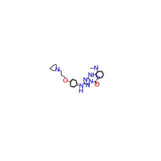 CN(C)c1cccc(C(=O)n2nc(Nc3ccc(OCCCN4CCCC4)cc3)nc2N)c1